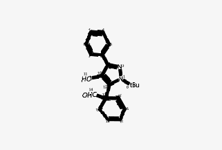 CC(C)(C)n1nc(-c2ccccc2)c(O)c1C1(C=O)C=CC=CC1